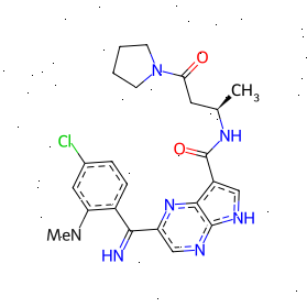 CNc1cc(Cl)ccc1C(=N)c1cnc2[nH]cc(C(=O)N[C@H](C)CC(=O)N3CCCC3)c2n1